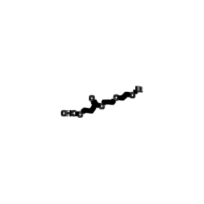 CCOCCOCCOC(=O)CCOC=O